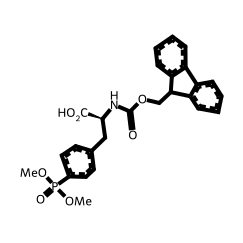 COP(=O)(OC)c1ccc(C[C@H](NC(=O)OCC2c3ccccc3-c3ccccc32)C(=O)O)cc1